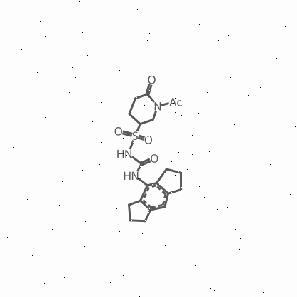 CC(=O)N1CC(S(=O)(=O)NC(=O)Nc2c3c(cc4c2CCC4)CCC3)CCC1=O